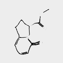 COC(=O)[C@@H]1CCc2cccc(=O)n21